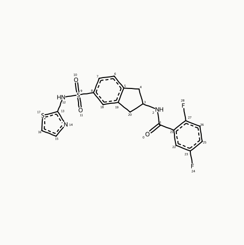 O=C(NC1Cc2ccc(S(=O)(=O)Nc3nccs3)cc2C1)c1cc(F)ccc1F